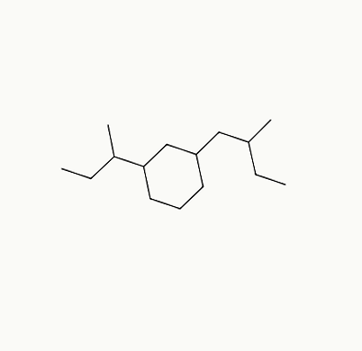 CCC(C)CC1CCCC(C(C)CC)C1